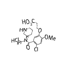 COc1cc(Cl)c(C(=O)N(C(C)C)[C@@H]2CCCNC2)cc1OCCC(=O)O.Cl